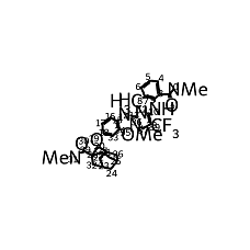 CNC(=O)c1cccc(C)c1Nc1nc(Nc2ccc(OC3C4CC5CC(C4)CC3(C(=O)NC)C5)cc2OC)ncc1C(F)(F)F